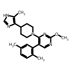 COc1ncc(-c2cc(C)ccc2C)c(N2CCC(c3nc[nH]c3C)CC2)n1